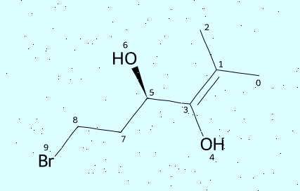 CC(C)=C(O)[C@H](O)CCBr